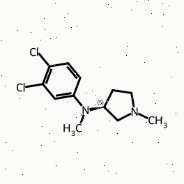 CN1CC[C@H](N(C)c2ccc(Cl)c(Cl)c2)C1